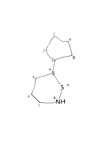 C1CCC(N2CCCNS2)C1